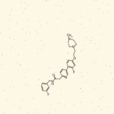 CN1CCN(CCOc2ccc(-c3ccc(CC(=O)NCc4cccc(F)c4)nc3)c(F)c2)CC1